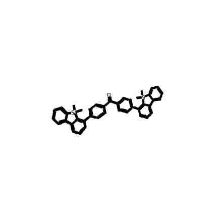 C[Si]1(C)c2ccccc2-c2cccc(-c3ccc(C(=O)c4ccc(-c5cccc6c5[Si](C)(C)c5ccccc5-6)cc4)cc3)c21